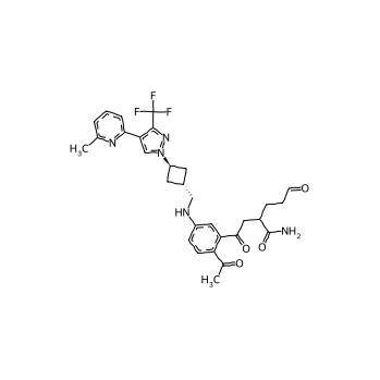 CC(=O)c1ccc(NC[C@H]2C[C@H](n3cc(-c4cccc(C)n4)c(C(F)(F)F)n3)C2)cc1C(=O)CC(CCC=O)C(N)=O